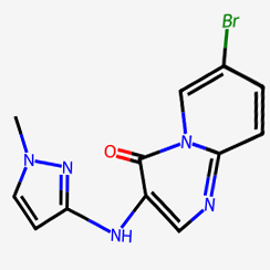 Cn1ccc(Nc2cnc3ccc(Br)cn3c2=O)n1